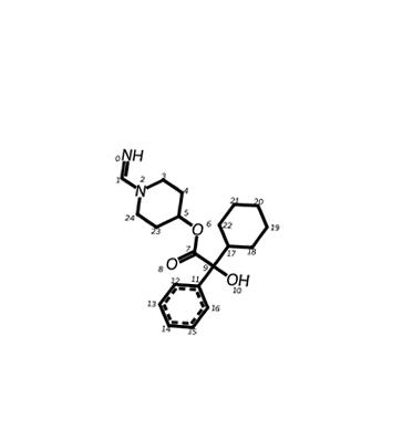 N=CN1CCC(OC(=O)C(O)(c2ccccc2)C2CCCCC2)CC1